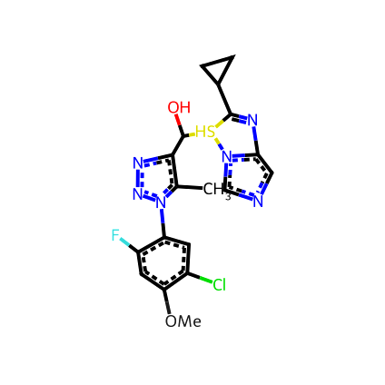 COc1cc(F)c(-n2nnc(C(O)[SH]3C(C4CC4)=Nc4cncn43)c2C)cc1Cl